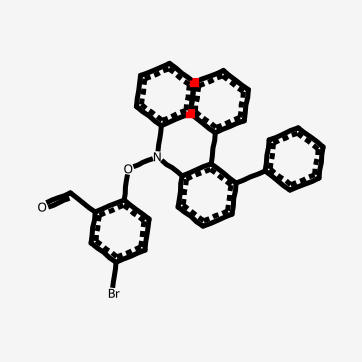 O=Cc1cc(Br)ccc1ON(c1ccccc1)c1cccc(-c2ccccc2)c1-c1ccccc1